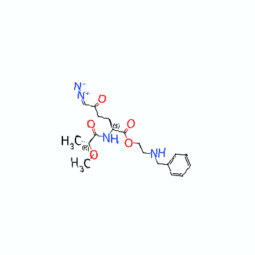 CO[C@H](C)C(=O)N[C@@H](CCC(=O)C=[N+]=[N-])C(=O)OCCNCc1ccccc1